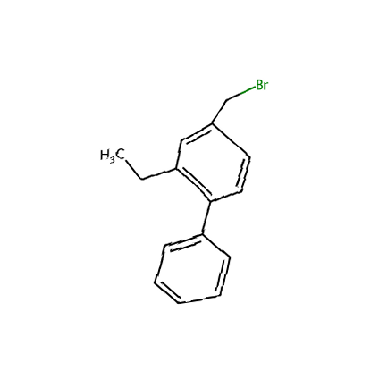 CCc1cc(CBr)ccc1-c1ccccc1